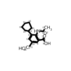 CC(=O)Nc1c(C(=O)O)cc(Cl)cc1C1CCCCC1.Cl